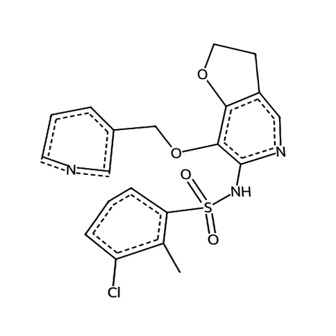 Cc1c(Cl)cccc1S(=O)(=O)Nc1ncc2c(c1OCc1cccnc1)OCC2